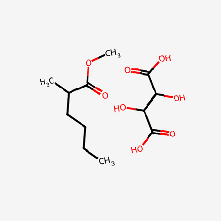 CCCCC(C)C(=O)OC.O=C(O)C(O)C(O)C(=O)O